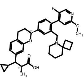 COc1cc(-c2ccc([C@@H]3CCc4ccc(C(C5CC5)[C@H](C)C(=O)O)cc4O3)cc2CN2CCCCC23CCC3)c(F)cn1